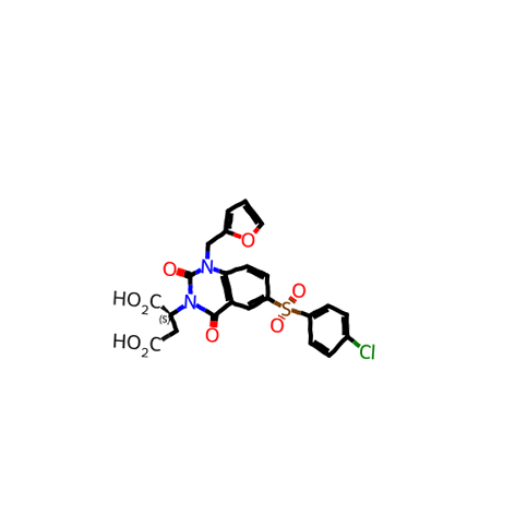 O=C(O)C[C@@H](C(=O)O)n1c(=O)c2cc(S(=O)(=O)c3ccc(Cl)cc3)ccc2n(Cc2ccco2)c1=O